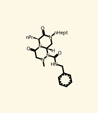 CCCCCCCN1C[C@H]2N(C(=O)CN(C)N2C(=O)NCc2ccccc2)[C@@H](CCC)C1=O